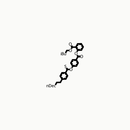 CCCCCCCCCCCCc1ccc(C(=S)Oc2ccc(C(=O)Oc3ccccc3C(=O)OCC(C)CC)cc2)cc1